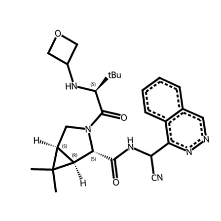 CC(C)(C)[C@H](NC1COC1)C(=O)N1C[C@H]2[C@@H]([C@H]1C(=O)NC(C#N)c1nncc3ccccc13)C2(C)C